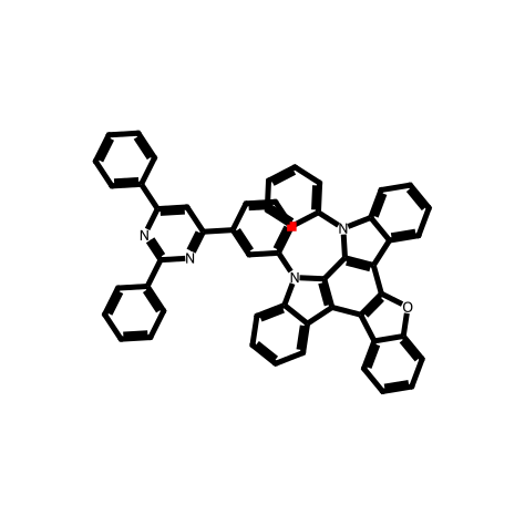 c1ccc(-c2cc(-c3cccc(-n4c5ccccc5c5c6c7ccccc7oc6c6c7ccccc7n(-c7ccccc7)c6c54)c3)nc(-c3ccccc3)n2)cc1